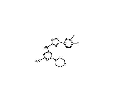 Cc1cc(Nc2ncn(-c3ccc(F)c(F)c3)n2)cc(N2CCOCC2)n1